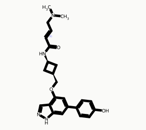 CN(C)C/C=C/C(=O)N[C@H]1C[C@@H](COc2cc(-c3ccc(O)cc3)cc3[nH]ncc23)C1